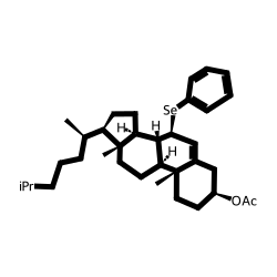 CC(=O)O[C@H]1CC[C@@]2(C)C(=C[C@H]([Se]c3ccccc3)[C@H]3[C@@H]4CC[C@H]([C@H](C)CCCC(C)C)[C@@]4(C)CC[C@@H]32)C1